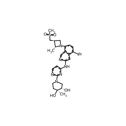 CC(C)c1ccc(N2C[C@H](CS(C)(=O)=O)[C@H]2C)c2cnc(Nc3ccnc(N4CC[C@](C)(O)[C@@H](O)C4)n3)cc12